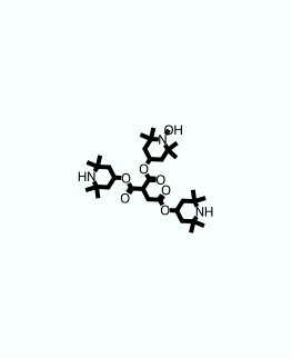 CC1(C)CC(OC(=O)CC(C(=O)OC2CC(C)(C)NC(C)(C)C2)C(=O)OC2CC(C)(C)N(O)C(C)(C)C2)CC(C)(C)N1